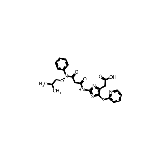 CC(C)CON(C(=O)CC(=O)Nc1nc(CC(=O)O)c(Sc2ccccn2)s1)c1ccccc1